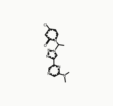 CC(n1cc(-c2cncc(N(C)C)n2)nn1)n1ccc(Cl)cc1=O